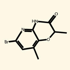 Cc1cc(Br)nc2c1OC(C)C(=O)N2